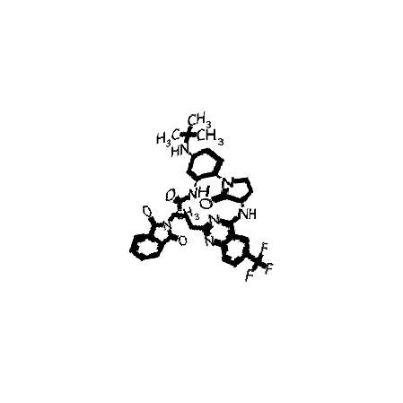 CC(=O)N[C@@H]1C[C@H](NC(C)(C)C)CC[C@@H]1N1CC[C@H](Nc2nc(CCCN3C(=O)c4ccccc4C3=O)nc3ccc(C(F)(F)F)cc23)C1=O